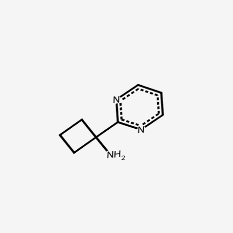 NC1(c2ncccn2)CCC1